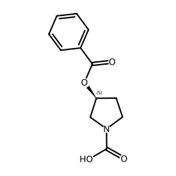 O=C(O[C@H]1CCN(C(=O)O)C1)c1ccccc1